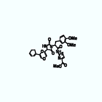 COC(=O)c1csc(NC(=O)[C@H](Cc2ccc(OC)c(OC)c2)N2C(=O)NC(C3=COC=C(C4=CC=CCC4)O3)C2=O)n1